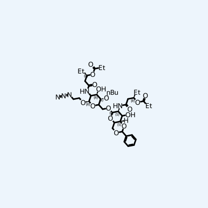 CCCCO[C@@H]1C(CO[C@@H]2OC3COC(c4ccccc4)O[C@H]3C(O)[C@@H]2NC(=O)C[C@@H](CC)OC(=O)CC)O[C@@H](OCCN=[N+]=[N-])C(NC(=O)C[C@@H](CC)OC(=O)CC)[C@H]1O